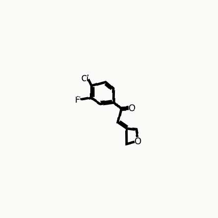 O=C(C=C1COC1)c1ccc(Cl)c(F)c1